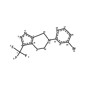 FC(F)(F)c1nnc2n1CCN(c1cc(Br)ccn1)C2